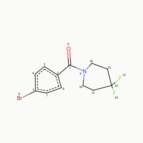 O=C(c1ccc(Br)cc1)N1CCC(F)(F)CC1